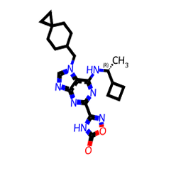 C[C@@H](Nc1nc(-c2noc(=O)[nH]2)nc2ncn(CC3CCC4(CC3)CC4)c12)C1CCC1